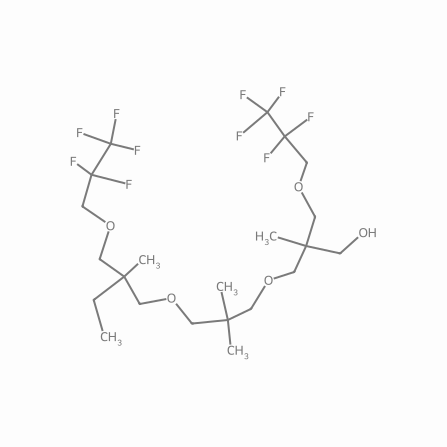 CCC(C)(COCC(C)(C)COCC(C)(CO)COCC(F)(F)C(F)(F)F)COCC(F)(F)C(F)(F)F